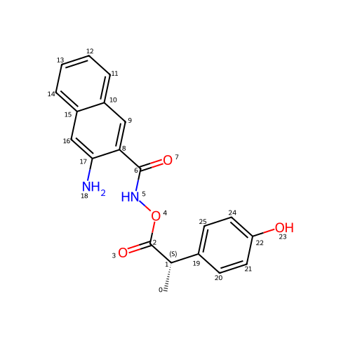 C[C@H](C(=O)ONC(=O)c1cc2ccccc2cc1N)c1ccc(O)cc1